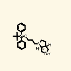 CC(C)(C)[Si](OCCCN1CC[C@H]2CNC[C@H]21)(c1ccccc1)c1ccccc1